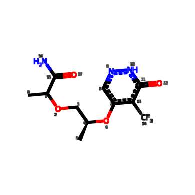 CC(OC[C@H](C)Oc1cn[nH]c(=O)c1C(F)(F)F)C(N)=O